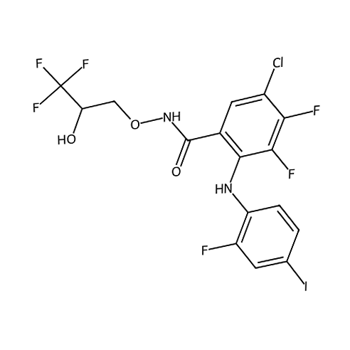 O=C(NOCC(O)C(F)(F)F)c1cc(Cl)c(F)c(F)c1Nc1ccc(I)cc1F